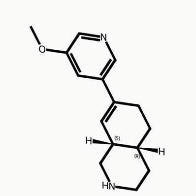 COc1cncc(C2=C[C@H]3CNCC[C@H]3CC2)c1